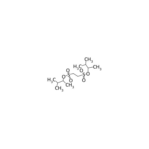 CC(C)C(C)OS(=O)(=O)CCS(=O)(=O)OC(C)C(C)C